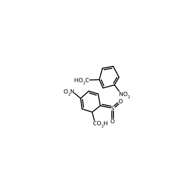 O=C(O)C1C=C([N+](=O)[O-])C=CC1=S(=O)=O.O=C(O)c1cccc([N+](=O)[O-])c1